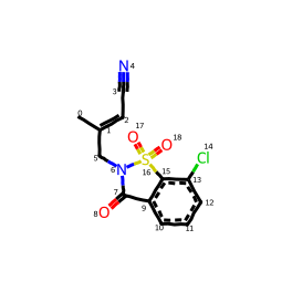 CC(=CC#N)CN1C(=O)c2cccc(Cl)c2S1(=O)=O